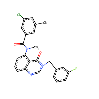 CN(C(=O)c1cc(Cl)cc(C#N)c1)c1cccc2ncn(Cc3cccc(F)c3)c(=O)c12